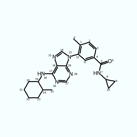 Cc1ccc(C(=O)NC2CC2)cc1-n1cnc2c(NC3CCCCC3C)ncnc21